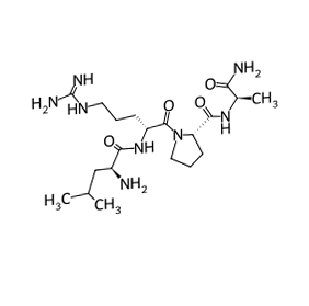 CC(C)C[C@H](N)C(=O)N[C@H](CCCNC(=N)N)C(=O)N1CCC[C@H]1C(=O)N[C@H](C)C(N)=O